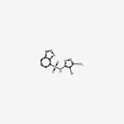 Cc1noc(NS(=O)(=O)c2cccc3nsnc23)c1Br